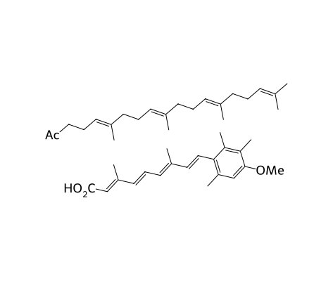 CC(=O)CC/C=C(\C)CC/C=C(\C)CC/C=C(\C)CCC=C(C)C.COc1cc(C)c(/C=C/C(C)=C/C=C/C(C)=C/C(=O)O)c(C)c1C